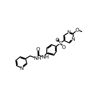 COc1ncc(S(=O)(=O)c2ccc(NC(=O)NCc3cccnc3)cc2)cn1